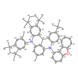 Cc1cc2c3c(c1)N(c1cccc4oc5ccccc5c14)c1ccc(C(C)(C)C)cc1C3c1cc3c(cc1N2c1cc2c(cc1C)C(C)(C)CC2(C)C)C(C)(C)CCC3(C)C